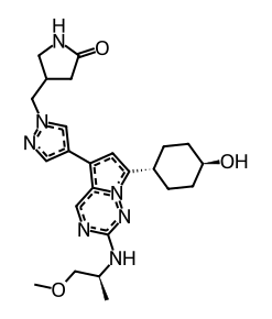 COC[C@H](C)Nc1ncc2c(-c3cnn(CC4CNC(=O)C4)c3)cc([C@H]3CC[C@H](O)CC3)n2n1